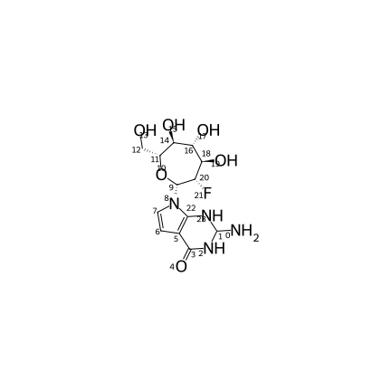 NC1NC(=O)c2ccn([C@@H]3O[C@H](CO)[C@@H](O)[C@H](O)[C@@H](O)[C@@H]3F)c2N1